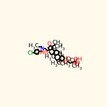 CCCN(Cc1ccc(Cl)cc1)C[C@H](O)[C@@]12CC[C@]3(C)[C@H](CC[C@@H]4[C@@]5(C)CC[C@H](OC(=O)CC(C)(C)C(=O)O)C(C)(C)[C@@H]5CC[C@]43C)C1=C(C(C)C)C(=O)C2